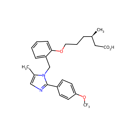 Cc1cnc(-c2ccc(OC(F)(F)F)cc2)n1Cc1ccccc1OCCC[C@@H](C)CC(=O)O